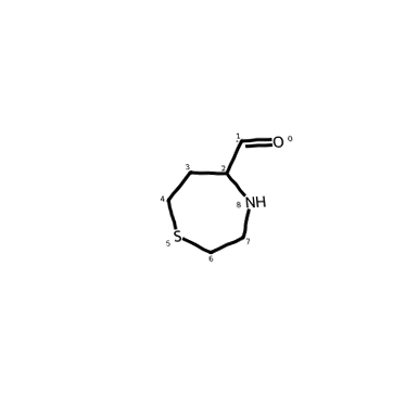 O=[C]C1CCSCCN1